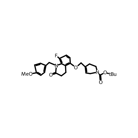 COc1ccc(CN2C(=O)CCc3c(OCC4=CCN(C(=O)OC(C)(C)C)CC4)ccc(F)c32)cc1